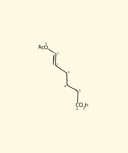 CC(=O)OC=CCCCC(=O)O